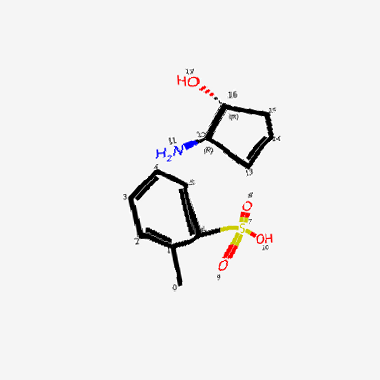 Cc1ccccc1S(=O)(=O)O.N[C@@H]1C=CC[C@H]1O